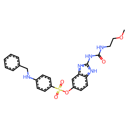 COCCNC(=O)Nc1nc2cc(OS(=O)(=O)c3ccc(NCc4ccccc4)cc3)ccc2[nH]1